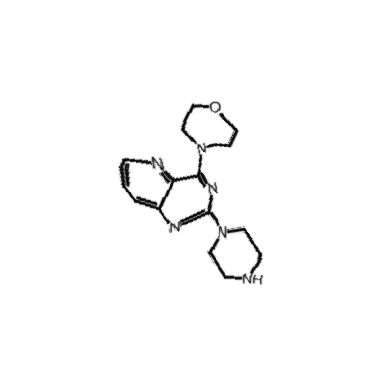 c1cnc2c(N3CCOCC3)nc(N3CCNCC3)nc2c1